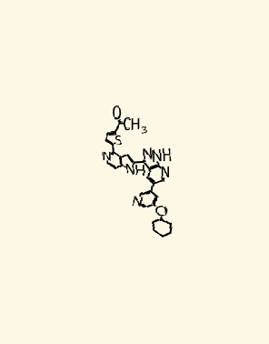 CC(=O)c1ccc(-c2nccc3[nH]c(-c4n[nH]c5ncc(-c6cncc(OC7CCCCC7)c6)cc45)cc23)s1